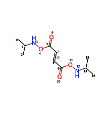 CC(C)NOC(=O)/C=C/C(=O)ONC(C)C